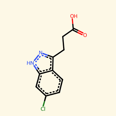 O=C(O)CCc1n[nH]c2cc(Cl)ccc12